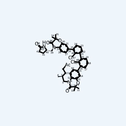 CC(=O)CC[C@H](C)CN1C(=O)C(C)(C)Oc2cc(-c3cccc(-c4cccc(-c5ccc6c(c5)OC(C)(C)C(=O)N6C[C@@H]5CCC(=O)N5)c4Cl)c3Cl)ccc21